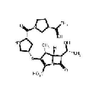 CC(=N)[C@@H]1CCN(C(=O)[C@@H]2C[C@H](SC3=C(C(=O)O)N4C(=O)[C@H]([C@@H](C)O)[C@H]4[C@H]3C)CN2)C1